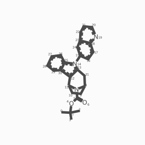 CC(C)(C)OC(=O)N1C2CCC1c1c(n(-c3ccc4ncccc4c3)c3ccccc13)C2